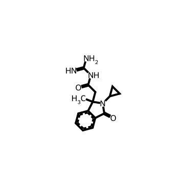 CC1(CC(=O)NC(=N)N)c2ccccc2C(=O)N1C1CC1